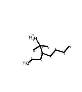 CCCCC(CCO)C(C)(C)N